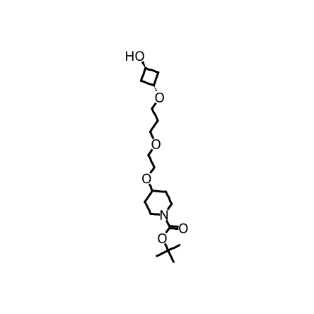 CC(C)(C)OC(=O)N1CCC(OCCOCCCO[C@H]2C[C@H](O)C2)CC1